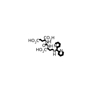 O=C(O)CC[C@H](NC(=O)N[C@@H](CCNC(c1ccccn1)c1ccccn1)C(=O)O)C(=O)O